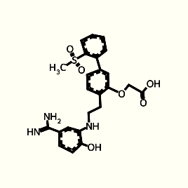 CS(=O)(=O)c1ccccc1-c1ccc(CCNc2cc(C(=N)N)ccc2O)c(OCC(=O)O)c1